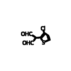 O=CC(C=O)c1sccc1Cl